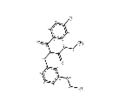 CCOC(=O)C(Cc1cccc(OCC)c1)C(=O)c1ccc(Cl)cc1